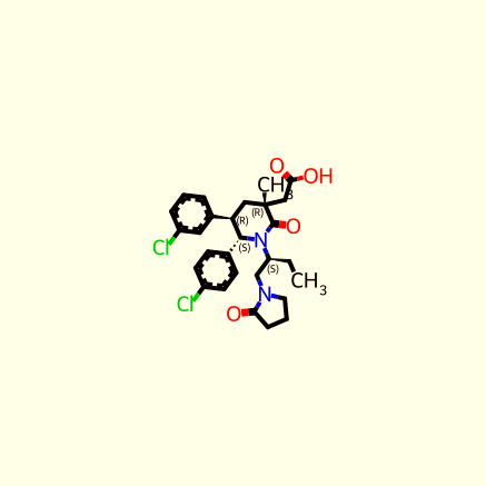 CC[C@@H](CN1CCCC1=O)N1C(=O)[C@@](C)(CC(=O)O)C[C@H](c2cccc(Cl)c2)[C@H]1c1ccc(Cl)cc1